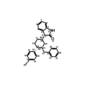 O=c1[nH]c2ccccc2n1[C@@H]1CC[C@@H](c2ccc(F)cc2)N(Cc2ccccc2)C1